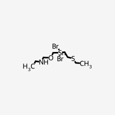 CCNCO[CH2][Sn]([Br])([Br])[CH2]CSCC